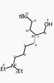 CCN(CC)CCCC[C@@H](CO)CCC(C)(C)C